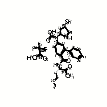 CSCC[C@H](NC(=O)c1ccc(N(C(=O)O)C2C[C@H](S)CN2)cc1-c1ccccc1)C(=O)O.O=C(O)C(F)(F)F